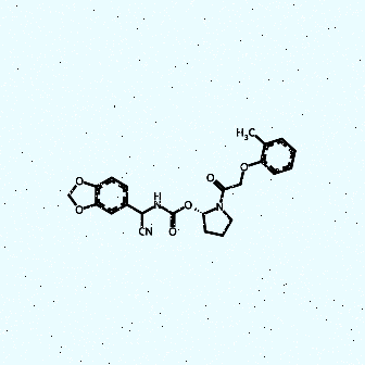 Cc1ccccc1OCC(=O)N1CCC[C@@H]1OC(=O)NC(C#N)c1ccc2c(c1)OCO2